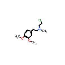 COc1ccc(CCN(C)CCCl)cc1OC